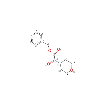 O=C(OCc1ccccc1)C(=O)C1CCOCC1